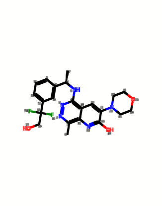 Cc1nnc(N[C@H](C)c2cccc(C(F)(F)CO)c2)c2cc(N3CCOCC3)c(O)nc12